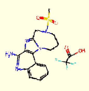 CS(=O)(=O)N1CCCn2c(nc3c(N)nc4ccccc4c32)C1.O=C(O)C(F)(F)F